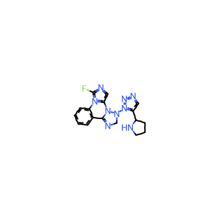 Fc1ncc2n1-c1ccccc1C1=NCN(n3nncc3C3CCCN3)N12